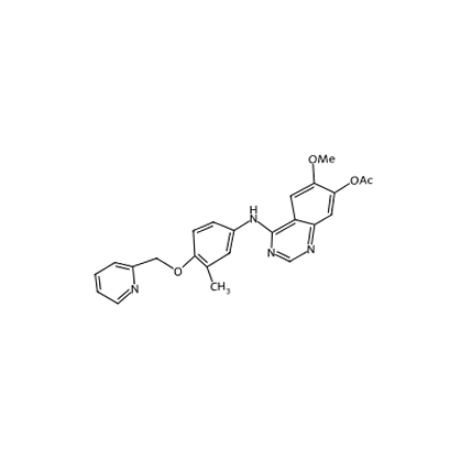 COc1cc2c(Nc3ccc(OCc4ccccn4)c(C)c3)ncnc2cc1OC(C)=O